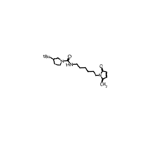 C=C1C=CC(=O)N1CCCCCCNC(=O)N1CCC(C(C)(C)C)C1